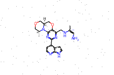 C/C(=C/N)NCc1nc(-c2ccnc3[nH]ccc23)nc2c1OC[C@@H]1COC[C@@H](C)N21